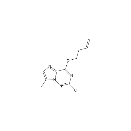 C=CCCOc1nc(Cl)nn2c(C)cnc12